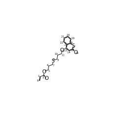 C=CC(=O)OCCCSCCCOc1cc(=O)sc2ccccc12